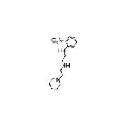 O=[N+]([O-])c1ccccc1NCCNCCN1CCCCC1